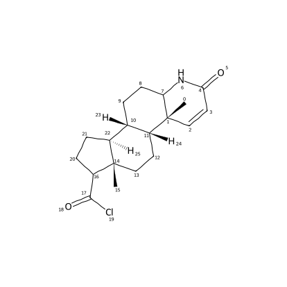 C[C@]12C=CC(=O)NC1CC[C@@H]1[C@H]2CC[C@]2(C)C(C(=O)Cl)CC[C@@H]12